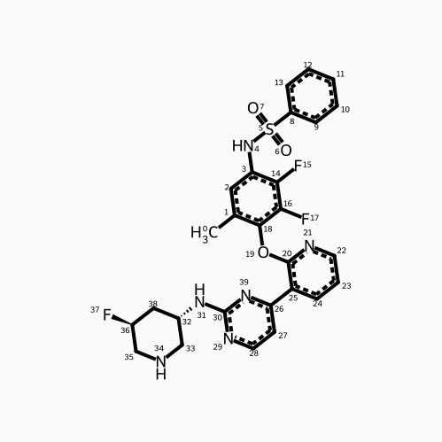 Cc1cc(NS(=O)(=O)c2ccccc2)c(F)c(F)c1Oc1ncccc1-c1ccnc(N[C@@H]2CNC[C@@H](F)C2)n1